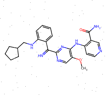 COc1cnc(C(=N)c2ccccc2NCC2CCCC2)nc1Nc1ccncc1C(N)=O